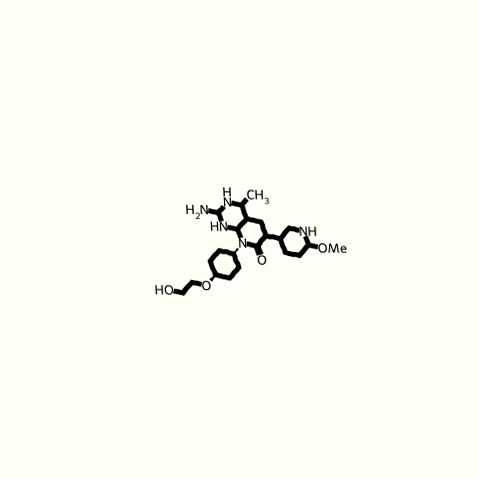 COC1CCC(C2CC3C(C)NC(N)NC3N([C@H]3CC[C@H](OCCO)CC3)C2=O)CN1